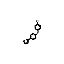 Oc1ccc(Oc2ccc(-c3cccs3)cc2)cc1